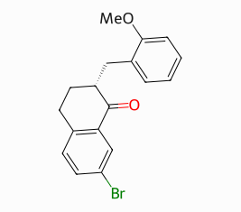 COc1ccccc1C[C@H]1CCc2ccc(Br)cc2C1=O